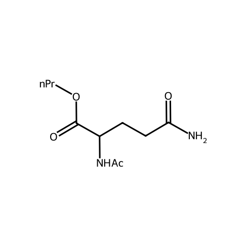 CCCOC(=O)C(CCC(N)=O)NC(C)=O